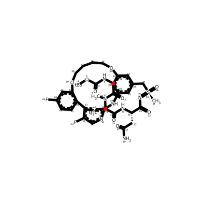 C[C@H](NC(=O)OC(C)(C)C)C(=O)N(C)[C@@H](C)C(=O)N[C@@H](CC(N)=O)C(=O)N=[S@@](C)(=O)Cc1cc2cc(c1)OCCCCOc1cc(F)ccc1-c1nc(ncc1F)N2